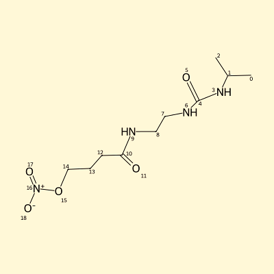 CC(C)NC(=O)NCCNC(=O)CCCO[N+](=O)[O-]